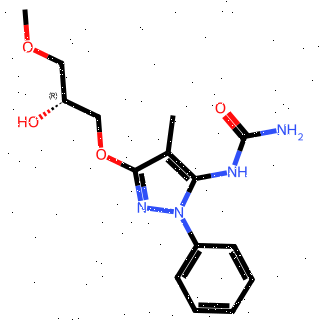 COC[C@@H](O)COc1nn(-c2ccccc2)c(NC(N)=O)c1C